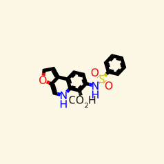 O=C(O)c1c(NS(=O)(=O)c2ccccc2)ccc2c1NC=C1OCC=C12